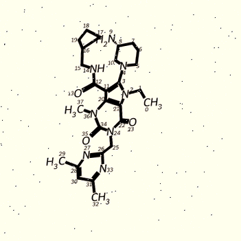 CCn1c(N2CCC[C@@H](N)C2)c(C(=O)NCC2CCC2)c2c1c(=O)n(Cc1nc(C)cc(C)n1)c(=O)n2C